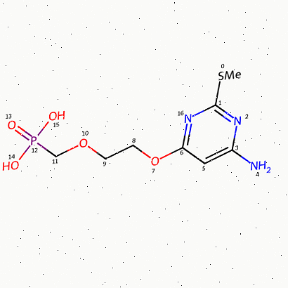 CSc1nc(N)cc(OCCOCP(=O)(O)O)n1